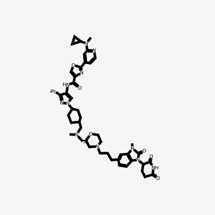 CC(C)c1nn(C2CCC(CN(C)C[C@@H]3CN(CCCc4ccc5c(c4)n(C)c(=O)n5C4CCC(=O)NC4=O)CCO3)CC2)cc1NC(=O)c1coc(-c2ccnc(N(C)C3CC3)c2)n1